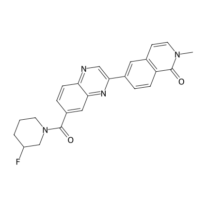 Cn1ccc2cc(-c3cnc4ccc(C(=O)N5CCCC(F)C5)cc4n3)ccc2c1=O